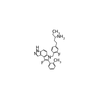 CCC(N)CCc1ccc(Cn2c(-c3ccccc3C)c(F)c3c4cn[nH]c4ccc32)c(F)c1